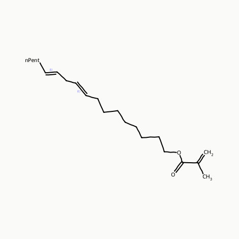 C=C(C)C(=O)OCCCCCCCC/C=C/C/C=C/CCCCC